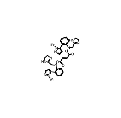 CC(C)n1nccc1-c1ccccc1N(CC1=NCCN1)OC(=O)/C=C/C(=O)ON(CC1=NCCN1)c1ccccc1-c1ccnn1C(C)C